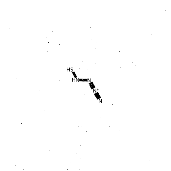 [N-]=[N+]=NNS